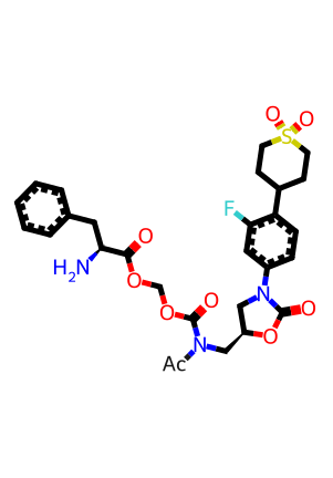 CC(=O)N(C[C@H]1CN(c2ccc(C3CCS(=O)(=O)CC3)c(F)c2)C(=O)O1)C(=O)OCOC(=O)[C@@H](N)Cc1ccccc1